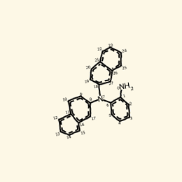 Nc1ccccc1N(c1ccc2ccccc2c1)c1ccc2ccccc2c1